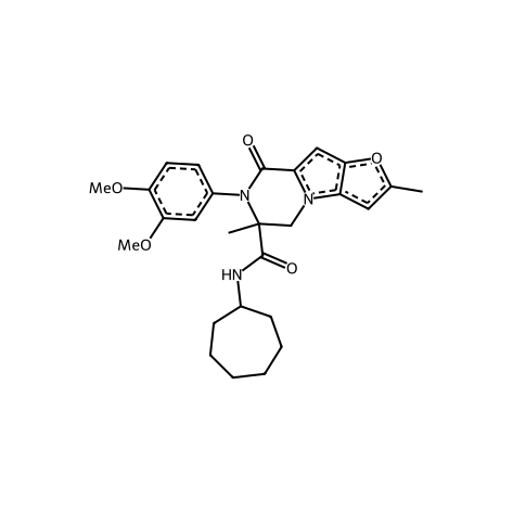 COc1ccc(N2C(=O)c3cc4oc(C)cc4n3CC2(C)C(=O)NC2CCCCCC2)cc1OC